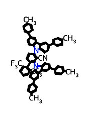 Cc1ccc(-c2ccc3c(c2)c2cc(-c4ccc(C)cc4)ccc2n3-c2ccc(-c3c(C(F)(F)F)cccc3C(F)(F)F)c(-n3c4ccc(-c5ccc(C)cc5)cc4c4cc(-c5ccc(C)cc5)ccc43)c2C#N)cc1